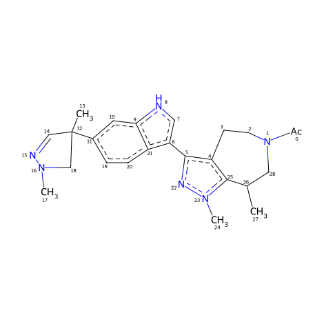 CC(=O)N1CCc2c(-c3c[nH]c4cc(C5(C)C=NN(C)C5)ccc34)nn(C)c2C(C)C1